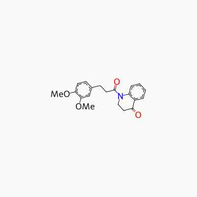 COc1ccc(CCC(=O)N2CCC(=O)c3ccccc32)cc1OC